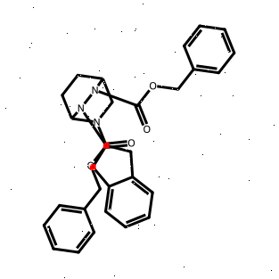 O=C(OCc1ccccc1)N1C2CCC(N(C3Cc4ccccc4C3)C2)N1C(=O)OCc1ccccc1